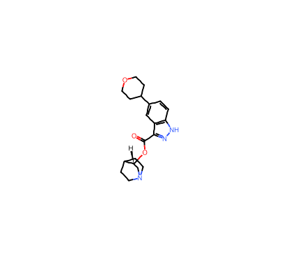 O=C(O[C@@H]1CN2CCC1CC2)c1n[nH]c2ccc(C3CCOCC3)cc12